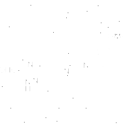 COc1cccc(N2CCN(CCC3=NNC(C=O)N3C3CCCC3)CC2)c1